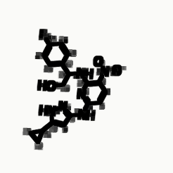 O=[N+]([O-])c1ccc(Nc2cc(C3CC3)[nH]n2)nc1NC(CO)c1ccc(F)cc1